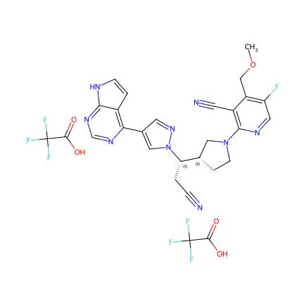 COCc1c(F)cnc(N2CC[C@H]([C@H](CC#N)n3cc(-c4ncnc5[nH]ccc45)cn3)C2)c1C#N.O=C(O)C(F)(F)F.O=C(O)C(F)(F)F